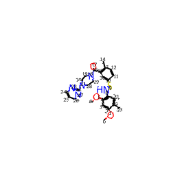 COc1cc(OC)c(NSc2ccc(C)c(C(=O)N3CCN(c4ncccn4)CC3)c2)cc1C